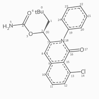 CC(C)(C)C[C@H](OC(N)=O)c1cc2cccc(Cl)c2c(=O)n1-c1ccccc1